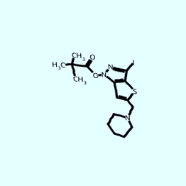 CC(C)(C)C(=O)On1nc(I)c2sc(CN3CCCCC3)cc21